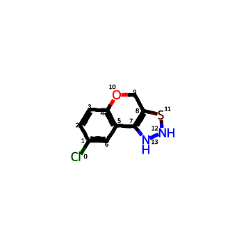 Clc1ccc2c(c1)C1=C(CO2)SNN1